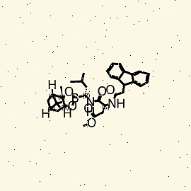 COC(=O)C[C@H](NC(=O)CC1c2ccccc2-c2ccccc21)C(=O)N[C@@H](CC(C)C)B1O[C@@H]2C[C@@H]3C[C@@H](C3(C)C)[C@]2(C)O1